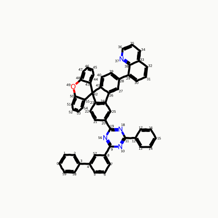 c1ccc(-c2cccc(-c3nc(-c4ccccc4)nc(-c4ccc5c(c4)-c4cc(-c6cccc7cccnc67)ccc4C54c5ccccc5Oc5ccccc54)n3)c2)cc1